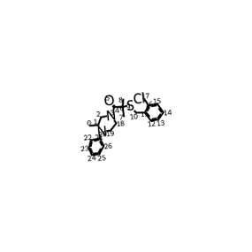 CC1CN(C(=O)C(C)(C)SCc2ccccc2Cl)CCN1c1ccccc1